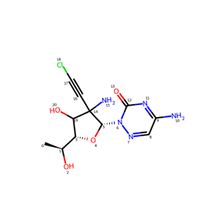 C[C@H](O)[C@H]1O[C@@H](n2ncc(N)nc2=O)C(N)(C#CCl)C1O